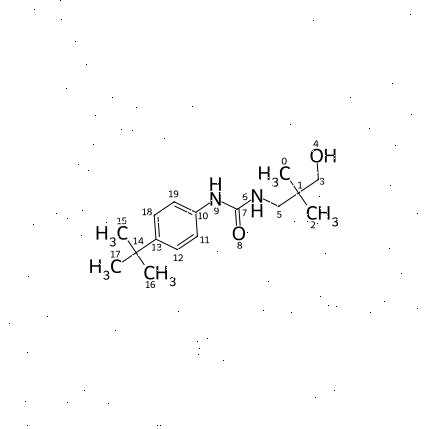 CC(C)(CO)CNC(=O)Nc1ccc(C(C)(C)C)cc1